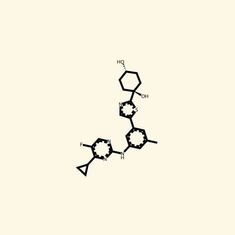 Cc1cc(Nc2ncc(F)c(C3CC3)n2)cc(-c2cnc([C@]3(O)CC[C@H](O)CC3)s2)c1